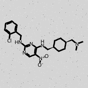 CN(C)C[C@H]1CC[C@@H](CNc2nc(NCc3ccccc3Cl)ncc2[N+](=O)[O-])CC1